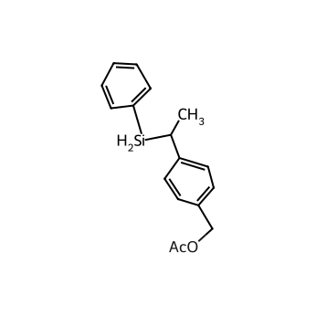 CC(=O)OCc1ccc(C(C)[SiH2]c2ccccc2)cc1